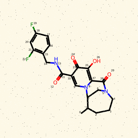 CC1CCCN2CC1n1cc(C(=O)NCc3ccc(F)cc3F)c(=O)c(O)c1C2=O